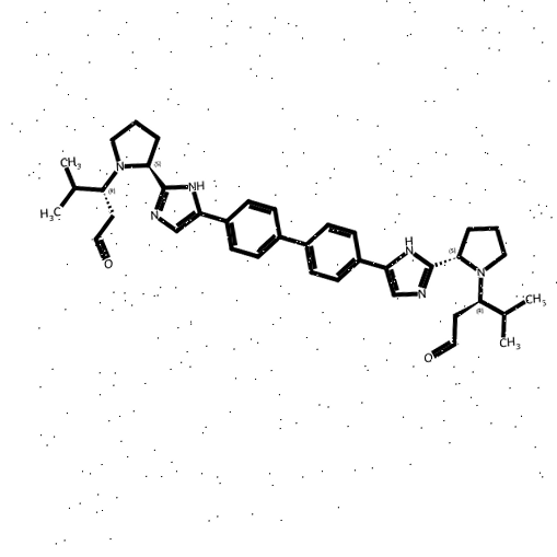 CC(C)[C@@H](C[C]=O)N1CCC[C@H]1c1ncc(-c2ccc(-c3ccc(-c4cnc([C@@H]5CCCN5[C@H](C[C]=O)C(C)C)[nH]4)cc3)cc2)[nH]1